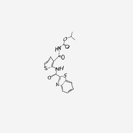 CC(C)OC(=O)NC(=O)c1ccsc1NC(=O)c1nc2ccccc2s1